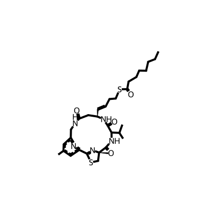 CCCCCCCC(=O)SCC/C=C/[C@@H]1CC(=O)NCc2cc(C)cc(n2)C2=N[C@@](C)(CS2)C(=O)NC(C(C)C)C(=O)N1